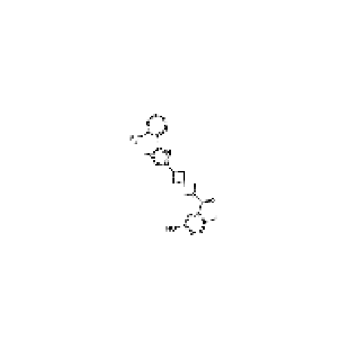 Cc1cn(C2CC3(C2)CN(C(=O)c2cc(O)ccc2F)C3)nc1-c1ccccc1C(F)(F)F